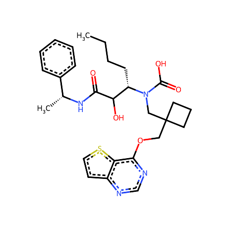 CCCC[C@@H](C(O)C(=O)N[C@H](C)c1ccccc1)N(CC1(COc2ncnc3ccsc23)CCC1)C(=O)O